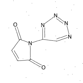 O=C1C=CC(=O)N1c1cnnnn1